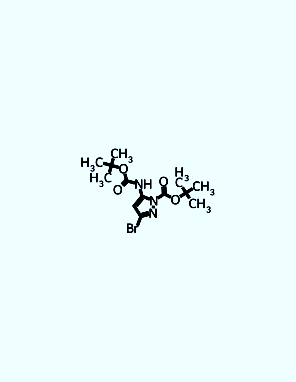 CC(C)(C)OC(=O)Nc1cc(Br)nn1C(=O)OC(C)(C)C